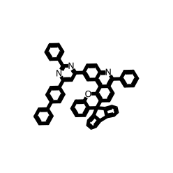 c1ccc(-c2ccc(-c3cc(-c4ccc5nc(-c6ccccc6)c6ccc7c(c6c5c4)Oc4ccccc4C74c5ccccc5-c5ccccc54)nc(-c4ccccc4)n3)cc2)cc1